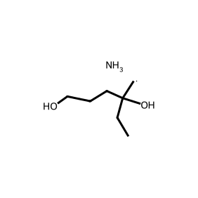 N.[CH2]C(O)(CC)CCCO